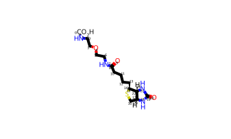 O=C(O)NCCOCCNC(=O)CCCC[C@@H]1SC[C@@H]2NC(=O)N[C@@H]21